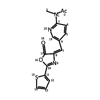 CC(=O)N(C)c1ccc(C=C2N=C(c3cccs3)OC2=O)cn1